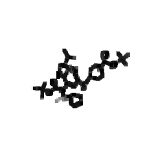 CC(C)c1cnc2c(N(C(=O)OC(C)(C)C)[C@@H](C)c3ccccc3)cc(SC3CCN(C(=O)OC(C)(C)C)CC3)nn12